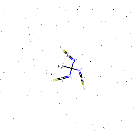 [SiH3]C(N=C=S)(N=C=S)N=C=S